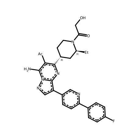 CC[C@H]1C[C@H](c2nc3c(-c4ccc(-c5ccc(F)cc5)nc4)cnn3c(N)c2C(C)=O)CCN1C(=O)CO